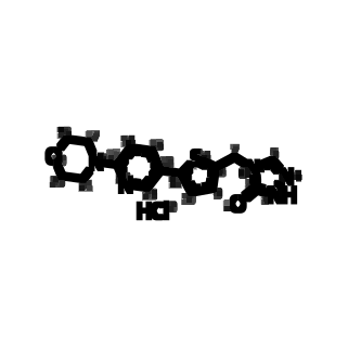 Cl.O=c1[nH]ncn1Cc1ccc(-c2ccc(N3CCOCC3)nc2)s1